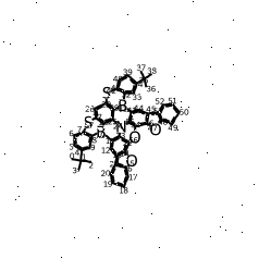 CC(C)(C)c1ccc2c(c1)B1c3cc4c(oc5ccccc54)c4c3N3c5c1c(cc1c5B(c5cc(C(C)(C)C)ccc5S1)c1cc5c(oc6ccccc65)c(c13)O4)S2